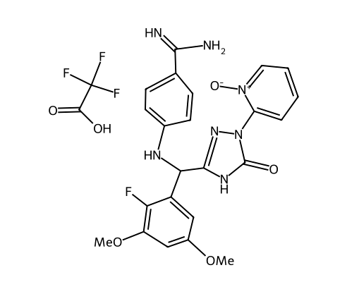 COc1cc(OC)c(F)c(C(Nc2ccc(C(=N)N)cc2)c2nn(-c3cccc[n+]3[O-])c(=O)[nH]2)c1.O=C(O)C(F)(F)F